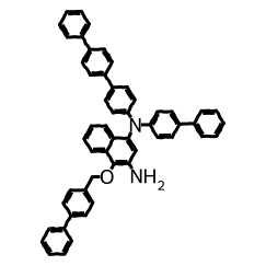 Nc1cc(N(c2ccc(-c3ccccc3)cc2)c2ccc(-c3ccc(-c4ccccc4)cc3)cc2)c2ccccc2c1OCc1ccc(-c2ccccc2)cc1